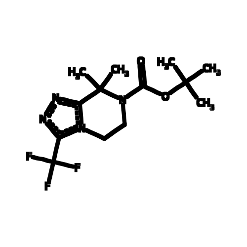 CC(C)(C)OC(=O)N1CCn2c(C(F)(F)F)nnc2C1(C)C